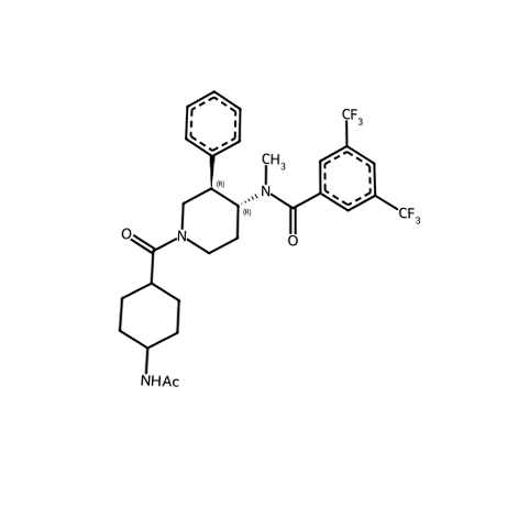 CC(=O)NC1CCC(C(=O)N2CC[C@@H](N(C)C(=O)c3cc(C(F)(F)F)cc(C(F)(F)F)c3)[C@H](c3ccccc3)C2)CC1